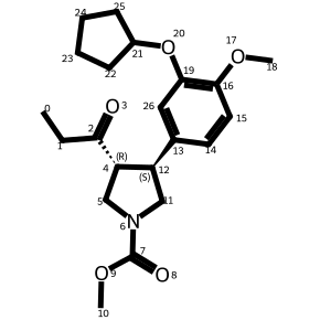 CCC(=O)[C@H]1CN(C(=O)OC)C[C@@H]1c1ccc(OC)c(OC2CCCC2)c1